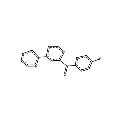 O=C(c1ccc(F)cc1)c1cccc(-c2ccccn2)n1